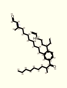 C=CNCCC(CC)c1ccc(C(=O)C(C)CCCCCCC)cc1CCCCCCCC/C(C)=C/C=O